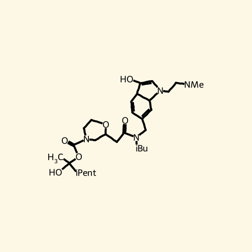 CCCC(C)C(C)(O)OC(=O)N1CCOC(CC(=O)N(CC2=CC3C(C=C2)C(O)=CN3CCNC)C(C)CC)C1